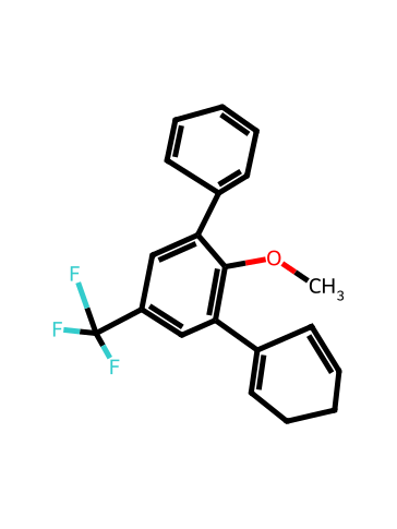 COc1c(C2=CCCC=C2)cc(C(F)(F)F)cc1-c1ccccc1